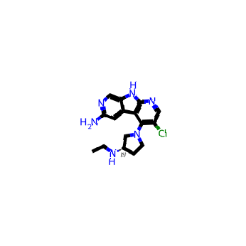 CCN[C@H]1CCN(c2c(Cl)cnc3[nH]c4cnc(N)cc4c23)C1